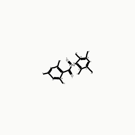 Cc1cc(C)c(C(=O)[PH](=O)c2c(C)c(C)cc(C)c2C)c(C)c1